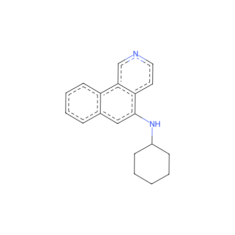 c1ccc2c(c1)cc(NC1CCCCC1)c1ccncc12